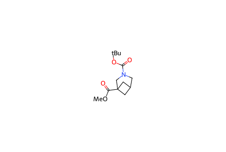 COC(=O)C12CC(CN(C(=O)OC(C)(C)C)C1)C2